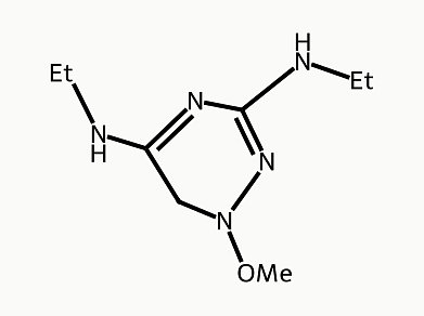 CCNC1=NC(NCC)=NN(OC)C1